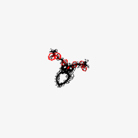 C=C(C)C(=O)OCCCOc1ccc(C2(c3ccc(OCCCOC(=O)C(=C)C)cc3)CCCCCCCCCCC2)cc1